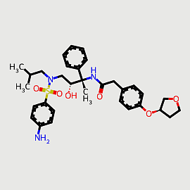 CC(C)CN(C[C@@H](O)[C@@](C)(NC(=O)Cc1ccc(O[C@@H]2CCOC2)cc1)c1ccccc1)S(=O)(=O)c1ccc(N)cc1